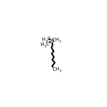 CCCCCCCC[CH][Si](C)(C)C